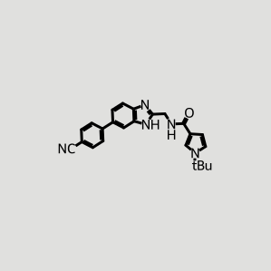 CC(C)(C)n1ccc(C(=O)NCc2nc3ccc(-c4ccc(C#N)cc4)cc3[nH]2)c1